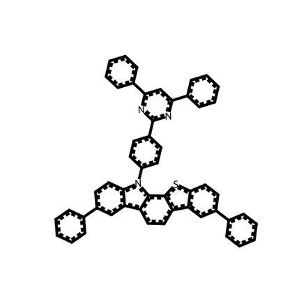 c1ccc(-c2ccc3sc4c(ccc5c6cc(-c7ccccc7)ccc6n(-c6ccc(-c7nc(-c8ccccc8)cc(-c8ccccc8)n7)cc6)c54)c3c2)cc1